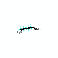 FC(F)(F)CCC(F)(F)C(F)(F)C(F)(F)C(F)(F)C(F)(F)[SiH3]